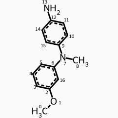 COc1cccc(N(C)c2ccc(N)cc2)c1